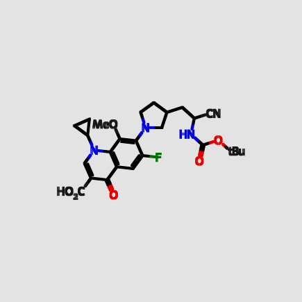 COc1c(N2CCC(CC(C#N)NC(=O)OC(C)(C)C)C2)c(F)cc2c(=O)c(C(=O)O)cn(C3CC3)c12